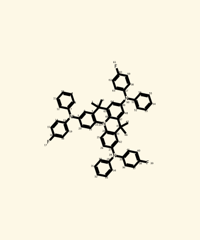 CC1(C)c2cc(N(c3ccccc3)c3ccc(F)cc3)ccc2N2c3ccc(N(c4ccccc4)c4ccc(F)cc4)cc3C(C)(C)c3cc(N(c4ccccc4)c4ccc(F)cc4)cc1c32